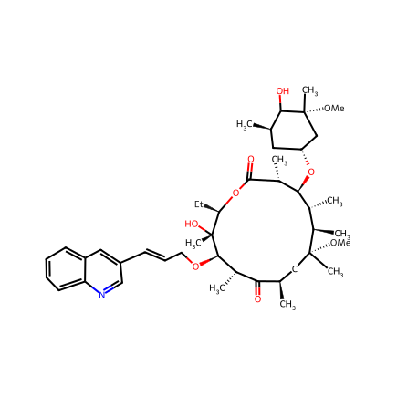 CC[C@H]1OC(=O)[C@H](C)[C@@H](O[C@@H]2C[C@@H](C)C(O)[C@](C)(OC)C2)[C@H](C)[C@@H](C)[C@](C)(OC)C[C@@H](C)C(=O)[C@H](C)[C@@H](OC/C=C/c2cnc3ccccc3c2)[C@]1(C)O